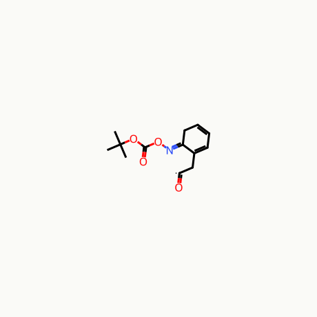 CC(C)(C)OC(=O)ON=C1CC=CC=C1C[C]=O